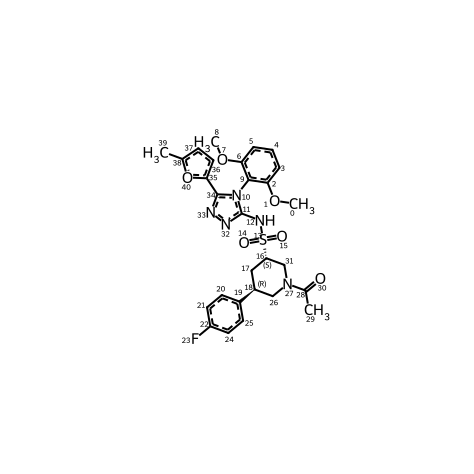 COc1cccc(OC)c1-n1c(NS(=O)(=O)[C@H]2C[C@H](c3ccc(F)cc3)CN(C(C)=O)C2)nnc1-c1ccc(C)o1